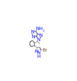 CC(c1ccccc1C1C=C(Br)NN1C)n1cnc2c(N)ncnc21